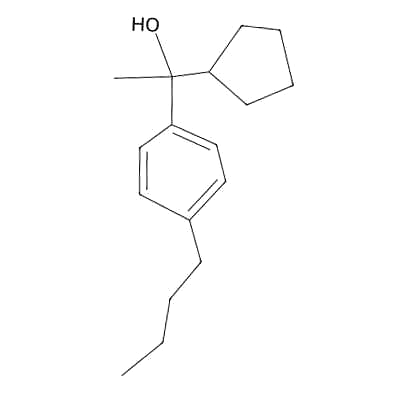 CCCCc1ccc(C(C)(O)C2CCCC2)cc1